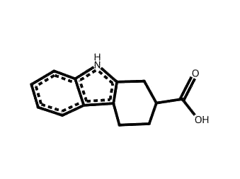 O=C(O)C1CCc2c([nH]c3ccccc23)C1